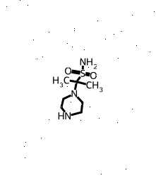 CC(C)(N1CCNCC1)S(N)(=O)=O